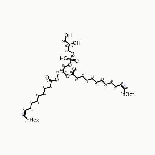 CCCCCC/C=C\CCCCCCCC(=O)OC[C@H](COP(=O)(O)OC[C@@H](O)CO)OC(=O)CCCCCCCCC/C=C\CCCCCCCC